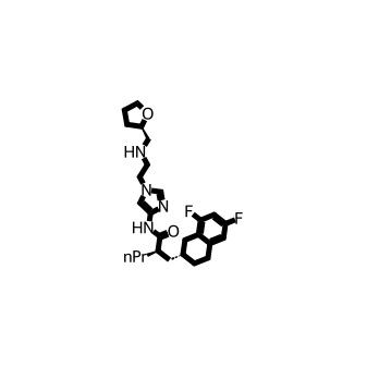 CCC[C@H](C[C@H]1CCc2cc(F)cc(F)c2C1)C(=O)Nc1cn(CCNC[C@H]2CCCO2)cn1